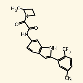 CC1CCN1C(=O)C(=O)Nc1ccc2cc(-c3cc(C#N)ccc3C(F)(F)F)[nH]c2c1